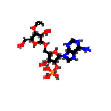 CO[C@H]1[C@@H](CO)OC(OC[C@H]2O[C@@H](n3cnc4c(N)ncnc43)[C@H](OP(=O)(O)O)[C@@H]2O)[C@@H]1O